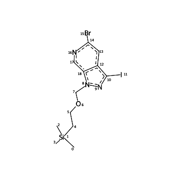 C[Si](C)(C)CCOCn1nc(I)c2cc(Br)ncc21